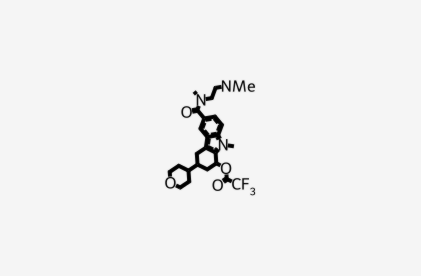 CNCCN(C)C(=O)c1ccc2c(c1)c1c(n2C)C(OC(=O)C(F)(F)F)CC(C2CCOCC2)C1